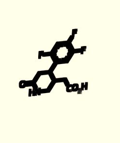 O=C(O)CC1CNC(=O)CC1c1cc(F)c(F)cc1F